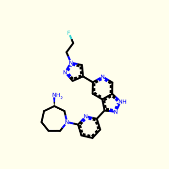 N[C@@H]1CCCCN(c2cccc(-c3n[nH]c4cnc(-c5cnn(CCF)c5)cc34)n2)C1